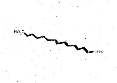 CCCCCC/C=C/C=C/C=C/C=C/CCCCCC(=O)O